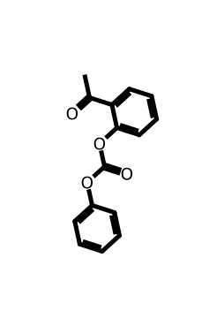 CC(=O)c1ccccc1OC(=O)Oc1ccccc1